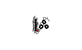 Cc1ccc([S+](c2ccccc2)c2ccccc2)c(C)c1.O=S(=O)([O-])C(F)(F)C(F)(F)C(F)(F)C(F)(F)C(F)(F)C(F)(F)C(F)(F)C(F)(F)F